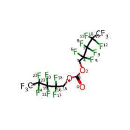 O=C(OCC(F)(F)C(F)(F)C(F)(F)C(F)(F)F)OCC(F)(F)C(F)(F)C(F)(F)C(F)(F)F